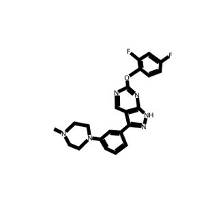 CN1CCN(c2cccc(-c3n[nH]c4nc(Oc5ccc(F)cc5F)ncc34)c2)CC1